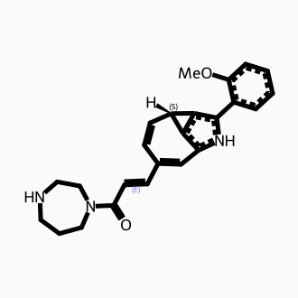 COc1ccccc1-c1[nH]c2c3c1[C@H]3C=CC(/C=C/C(=O)N1CCCNCC1)=C2